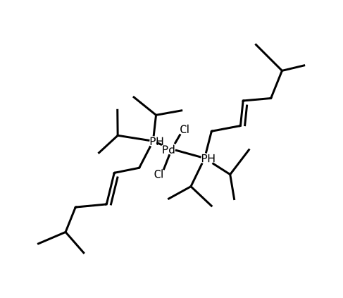 CC(C)CC=CC[PH](C(C)C)(C(C)C)[Pd]([Cl])([Cl])[PH](CC=CCC(C)C)(C(C)C)C(C)C